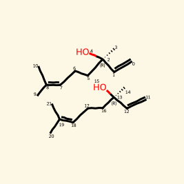 C=C[C@](C)(O)CCC=C(C)C.C=C[C@](C)(O)CCC=C(C)C